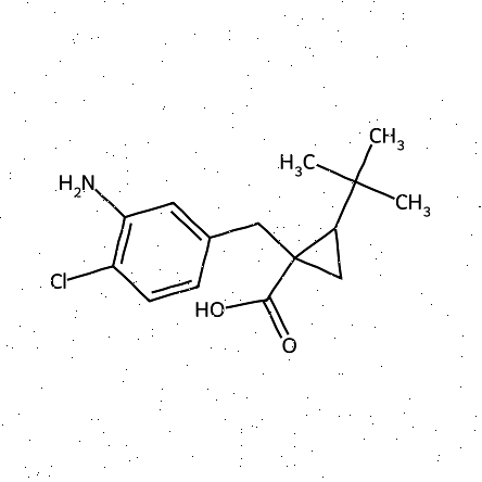 CC(C)(C)C1CC1(Cc1ccc(Cl)c(N)c1)C(=O)O